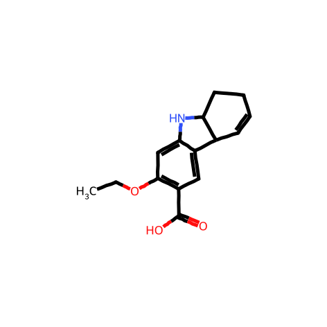 CCOc1cc2c(cc1C(=O)O)C1C=CCCC1N2